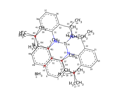 B.CC(C)c1cccc(C(C)C)c1[N](c1c(C(C)C)cccc1C(C)C)[Ti]([N](C)C)[N](c1c(C(C)C)cccc1C(C)C)c1c(C(C)C)cccc1C(C)C